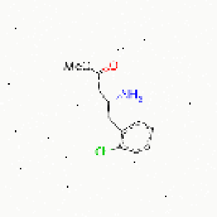 COC(=O)C[C@H](N)Cc1ccccc1Cl